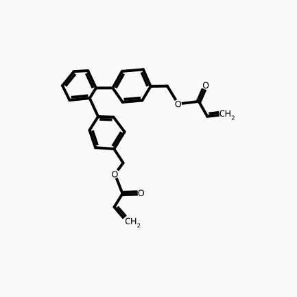 C=CC(=O)OCc1ccc(-c2ccccc2-c2ccc(COC(=O)C=C)cc2)cc1